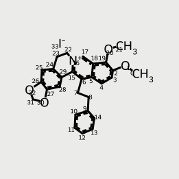 COc1ccc2c(CCc3ccccc3)c3[n+](cc2c1OC)CCc1cc2c(cc1-3)OCO2.[I-]